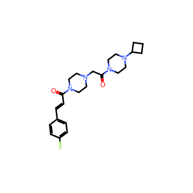 O=C(C=Cc1ccc(F)cc1)N1CCN(CC(=O)N2CCN(C3CCC3)CC2)CC1